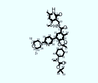 CSc1cc(C)[nH]c(=O)c1CNC(=O)c1cc(-c2ccc(N3C[C@@H](C)O[C@@H](C)C3)nc2)c2c(c1C)OC(C)([C@H]1CC[C@H](N(C)C(=O)OC(C)(C)C)CC1)O2